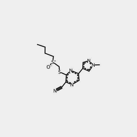 CCCC[S+]([O-])CSc1nc(-c2cnn(C)c2)cnc1C#N